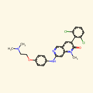 CN(C)CCOc1ccc(Nc2cc3c(cn2)cc(-c2c(Cl)cccc2Cl)c(=O)n3C)cc1